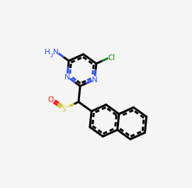 Nc1cc(Cl)nc(C([S+]=O)c2ccc3ccccc3c2)n1